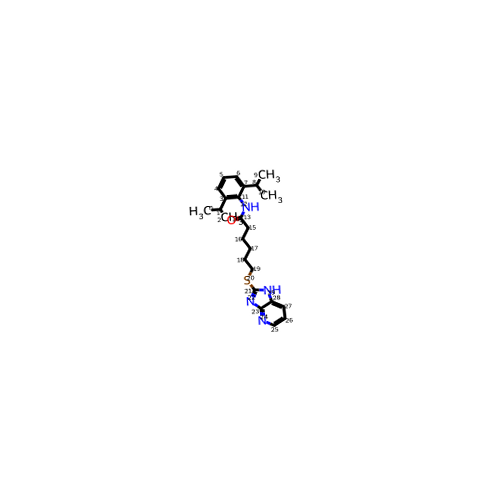 CC(C)c1cccc(C(C)C)c1NC(=O)CCCCCSc1nc2ncccc2[nH]1